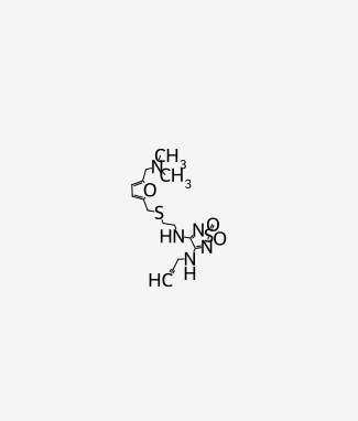 C#CCNC1=NS(=O)(=O)N=C1NCCSCc1ccc(CN(C)C)o1